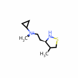 C=[N+](CC[C@H]1NSCC1C)C1CC1